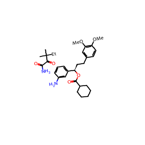 CCC(C)(C)C(=O)C(N)=O.COc1ccc(CC[C@@H](OC(=O)C2CCCCC2)c2cccc(N)c2)cc1OC